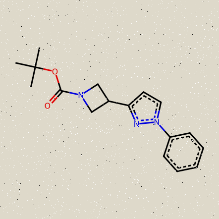 CC(C)(C)OC(=O)N1CC(c2ccn(-c3ccccc3)n2)C1